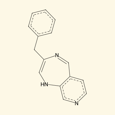 C1=NC(Cc2ccccc2)=CNc2cnccc21